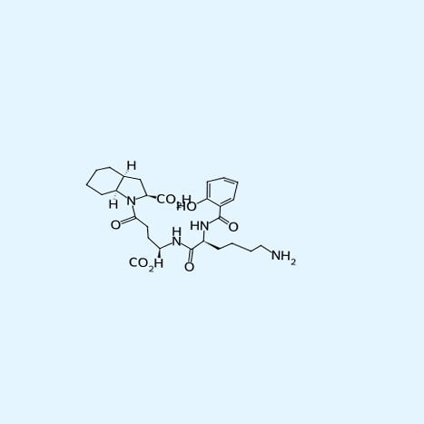 NCCCC[C@H](NC(=O)c1ccccc1O)C(=O)N[C@H](CCC(=O)N1[C@H](C(=O)O)C[C@@H]2CCCC[C@@H]21)C(=O)O